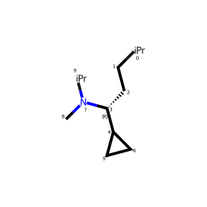 CC(C)CC[C@H](C1CC1)N(C)C(C)C